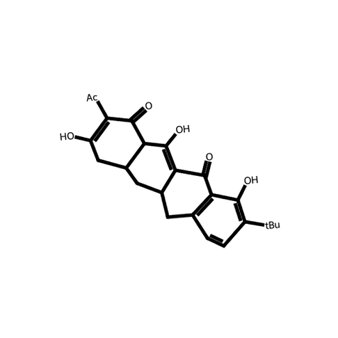 CC(=O)C1=C(O)CC2CC3Cc4ccc(C(C)(C)C)c(O)c4C(=O)C3=C(O)C2C1=O